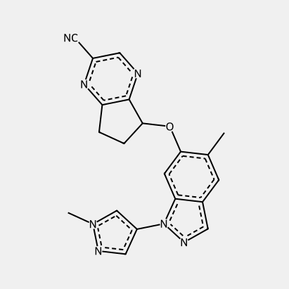 Cc1cc2cnn(-c3cnn(C)c3)c2cc1OC1CCc2nc(C#N)cnc21